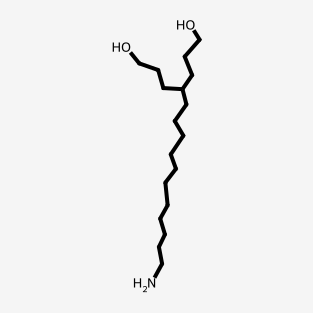 NCCCCCCCCCCCC(CCCO)CCCO